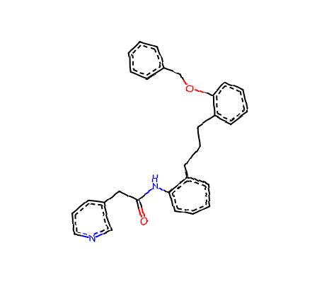 O=C(Cc1cccnc1)Nc1ccccc1CCCc1ccccc1OCc1ccccc1